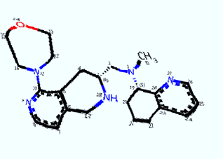 CN(C[C@H]1Cc2c(ccnc2N2CCOCC2)CN1)[C@H]1CCCc2cccnc21